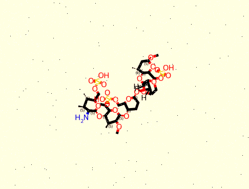 CCC1O[C@@H](O[C@H]2CC[C@H](O[C@H]3C4COC([C@H](O[C@@H]5C(COS(=O)(=O)O)O[C@H](OC)C[C@H]5C)O4)[C@H]3C)OC2COS(=O)(=O)O)C(OC)[C@@H](C)[C@@H]1O[C@@H]1OC(COS(=O)(=O)O)[C@@H](C)[C@H](C)C1N